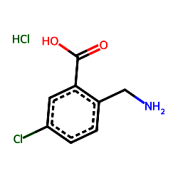 Cl.NCc1ccc(Cl)cc1C(=O)O